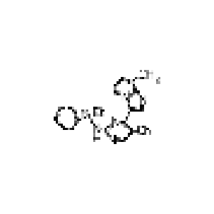 CC[C@H](Nc1ncc(C#N)c(-c2cnc3c(C)cccn23)n1)c1ccccc1